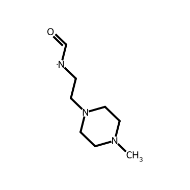 CN1CCN(CC[N]C=O)CC1